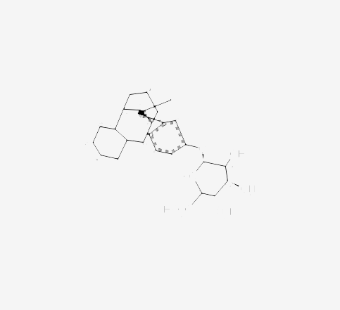 CC1(c2cccc(O[C@@H]3OC(C(=O)O)[C@@H](O)[C@H](O)C3O)c2)OOC12C1CCCC2C2CCCCC2C1